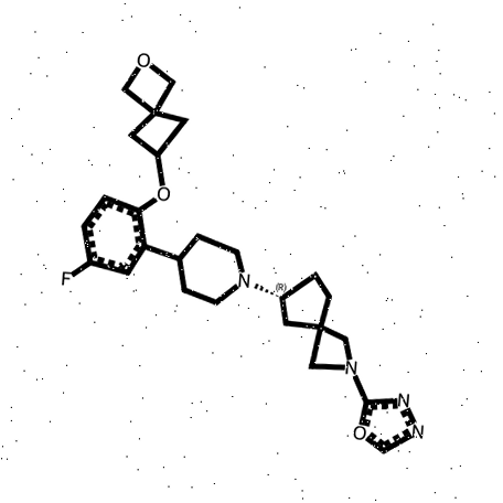 Fc1ccc(OC2CC3(COC3)C2)c(C2CCN([C@@H]3CCC4(C3)CN(c3nnco3)C4)CC2)c1